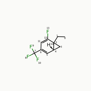 CCC12C[C@@H]1C=C(C(F)(F)F)C=C2F